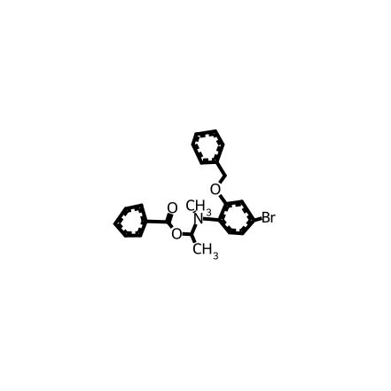 CC(OC(=O)c1ccccc1)N(C)c1ccc(Br)cc1OCc1ccccc1